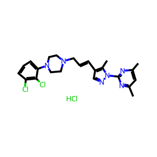 Cc1cc(C)nc(-n2ncc(/C=C/CN3CCN(c4cccc(Cl)c4Cl)CC3)c2C)n1.Cl